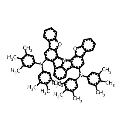 Cc1cc(N(c2cc(C)c(C)c(C)c2)c2cc3c4ccccc4oc3c3c2c2cccc4c5c(N(c6cc(C)c(C)c(C)c6)c6cc(C)c(C)c(C)c6)cc6c7ccccc7oc6c5n3c24)cc(C)c1C